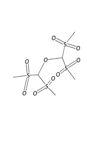 CS(=O)(=O)C(OC(S(C)(=O)=O)S(C)(=O)=O)S(C)(=O)=O